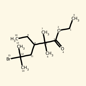 CCOC(=O)C(C)(C)C(CC)CC(C)(C)Br